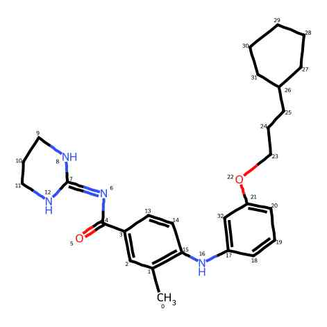 Cc1cc(C(=O)N=C2NCCCN2)ccc1Nc1cccc(OCCCC2CCCCC2)c1